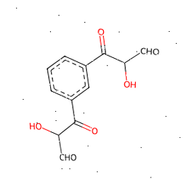 O=CC(O)C(=O)c1cccc(C(=O)C(O)C=O)c1